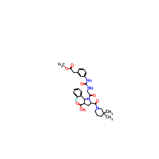 COC(=O)Cc1cccc(NC(=O)NCC(=O)N2C(C(=O)N3CCCC(C)(C)C3)CC(C(=O)O)C2c2ccccc2F)c1